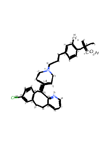 CC(C)(C(=O)O)c1ccc(CCCN2CCC(=C3c4ccc(Cl)cc4CCc4cccnc43)CC2)cc1C(F)(F)F